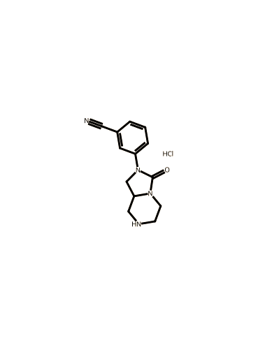 Cl.N#Cc1cccc(N2CC3CNCCN3C2=O)c1